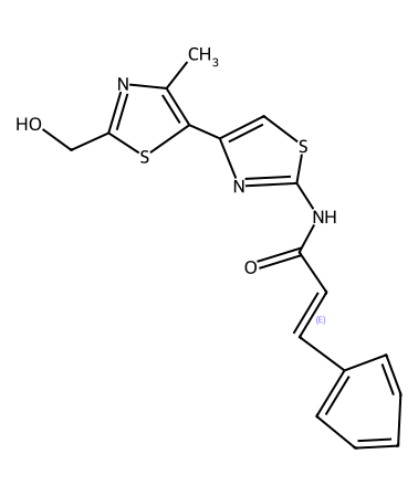 Cc1nc(CO)sc1-c1csc(NC(=O)/C=C/c2ccccc2)n1